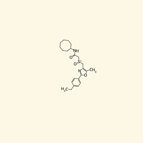 CCc1ccc(-c2nc(C[S+]([O-])CC(=O)NC3CCCCCCC3)c(C)o2)cc1